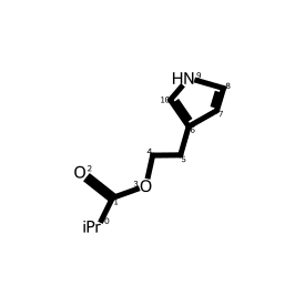 CC(C)C(=O)OCCc1cc[nH]c1